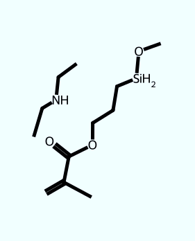 C=C(C)C(=O)OCCC[SiH2]OC.CCNCC